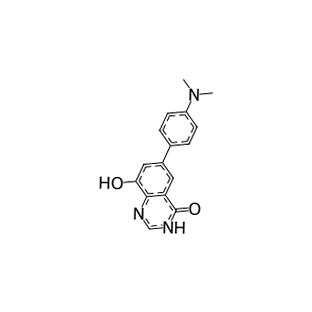 CN(C)c1ccc(-c2cc(O)c3nc[nH]c(=O)c3c2)cc1